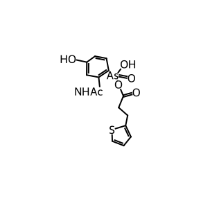 CC(=O)Nc1cc(O)ccc1[As](=O)(O)OC(=O)CCc1cccs1